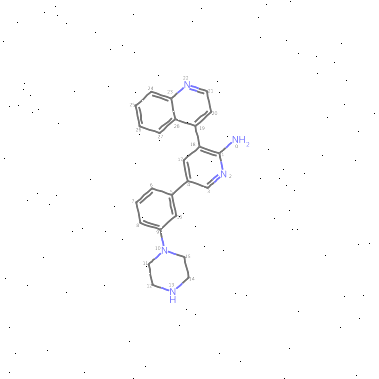 Nc1ncc(-c2cccc(N3CCNCC3)c2)cc1-c1ccnc2ccccc12